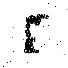 COC(=O)NC(C)C(=O)N1CCCC1c1ncc(-c2ccc3cc(-c4ccc(-c5cnc(C6CCCN6C(=O)C(NC(=O)OC)c6ccccc6)[nH]5)cc4)ccc3c2)[nH]1